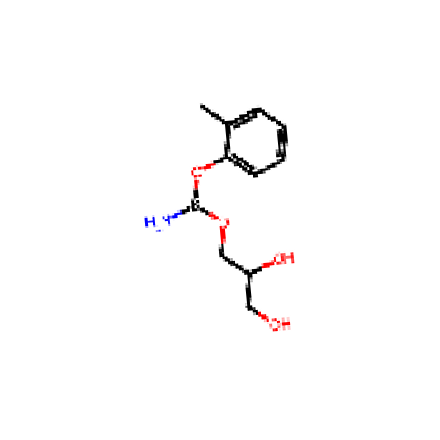 Cc1ccccc1OB(N)OCC(O)CO